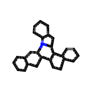 c1ccc2cc3c(cc2c1)c1ccc2ccccc2c1c1cc2ccccc2n31